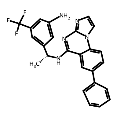 C[C@@H](Nc1nc2nccn2c2ccc(-c3ccccc3)cc12)c1cc(N)cc(C(F)(F)F)c1